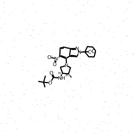 C[C@@H]1CN(c2c([N+](=O)[O-])ccc3nn(C45CCC(CC4)CC5)cc23)C[C@@H]1NC(=O)OC(C)(C)C